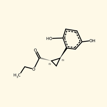 CCOC(=O)[C@H]1C[C@@H]1c1cc(O)ccc1O